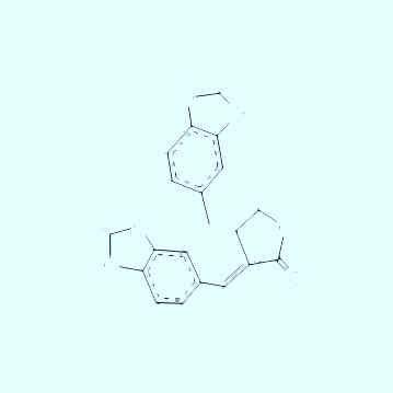 O=C1OC[C@@H](Cc2ccc3c(c2)OCO3)/C1=C\c1ccc2c(c1)OCO2